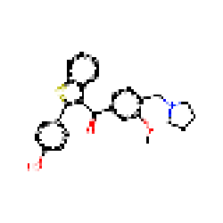 COc1cc(C(=O)c2c(-c3ccc(O)cc3)sc3ccccc23)ccc1CN1CCCC1